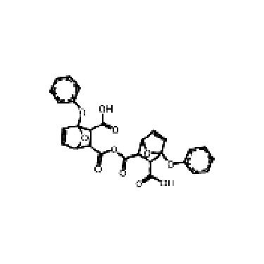 O=C(OC(=O)C1C2C=CC(Oc3ccccc3)(O2)C1C(=O)O)C1C2C=CC(Oc3ccccc3)(O2)C1C(=O)O